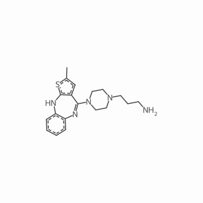 Cc1cc2c(s1)Nc1ccccc1N=C2N1CCN(CCCN)CC1